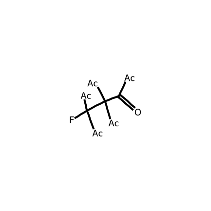 CC(=O)C(=O)C(C(C)=O)(C(C)=O)C(F)(C(C)=O)C(C)=O